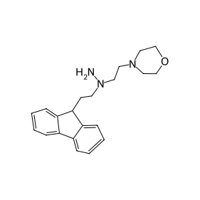 NN(CCC1c2ccccc2-c2ccccc21)CCN1CCOCC1